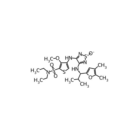 CCN(CC)S(=O)(=O)c1scc(Nc2n[s+]([O-])nc2N[C@@H](c2cc(C)c(C)o2)C(C)C)c1OC